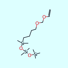 C=COCOCCCC[Si](C)(C)O[Si](C)(C)O[Si](C)(C)C